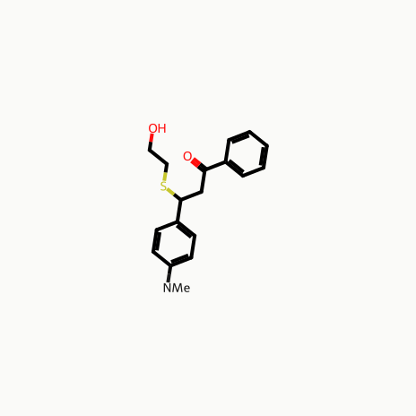 CNc1ccc(C(CC(=O)c2ccccc2)SCCO)cc1